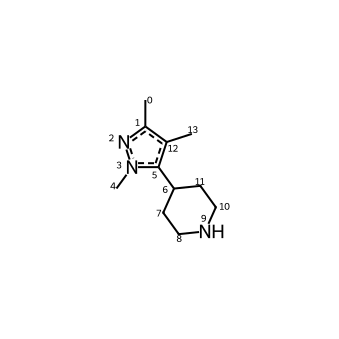 Cc1nn(C)c(C2CCNCC2)c1C